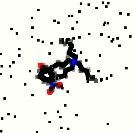 CCCC[N+](CCCC)(CCCC)CCCC.O=[N+]([O-])c1ccc([O-])cc1